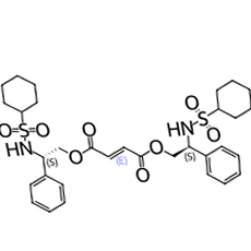 O=C(/C=C/C(=O)OC[C@@H](NS(=O)(=O)C1CCCCC1)c1ccccc1)OC[C@@H](NS(=O)(=O)C1CCCCC1)c1ccccc1